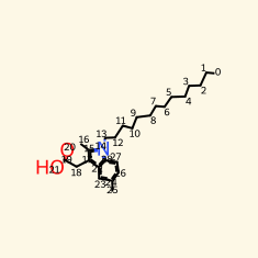 CCCCCCCCCCCCCCn1c(C)c(CC(=O)O)c2cc(C)ccc21